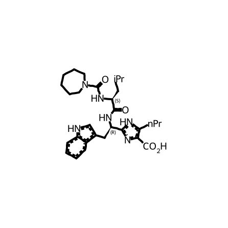 CCCc1[nH]c([C@@H](Cc2c[nH]c3ccccc23)NC(=O)[C@H](CC(C)C)NC(=O)N2CCCCCC2)nc1C(=O)O